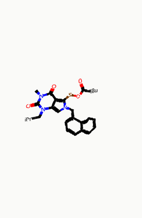 CCC(C)C(=O)OSc1c2c(=O)n(C)c(=O)n(CC(C)C)c2cn1Cc1cccc2ccccc12